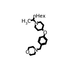 CCCCCCC(C)N1CCC(Oc2ccc(CN3CCOCC3)cc2)CC1